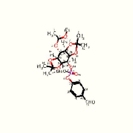 CCOC(C)O[C@@H]1[C@H]2OC(C)(C)O[C@H]2[C@@H](OP(=O)(OC)Oc2ccc(C=O)cc2)[C@@H]2OC(C)(C)O[C@@H]12